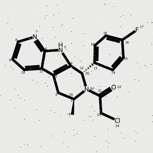 C[C@H]1Cc2c([nH]c3ncccc23)[C@H](c2ccc(F)cc2)N1C(=O)CCl